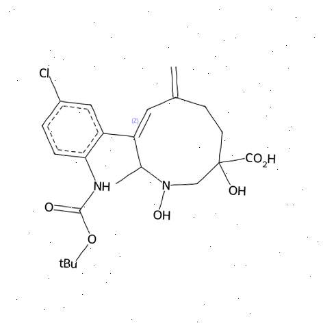 C=C1/C=C(/c2cc(Cl)ccc2NC(=O)OC(C)(C)C)C(C)N(O)CC(O)(C(=O)O)CC1